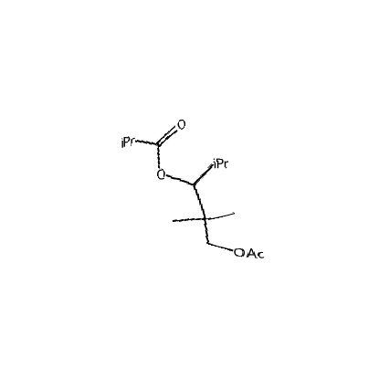 CC(=O)OCC(C)(C)C(OC(=O)C(C)C)C(C)C